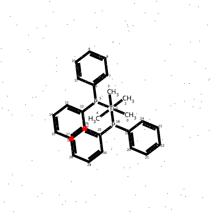 [CH3][Ti]([CH3])([CH3])([CH3])([P](c1ccccc1)c1ccccc1)[P](c1ccccc1)c1ccccc1